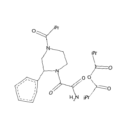 CC(C)C(=O)N1CCN(C(=O)C(N)=O)C(c2ccccc2)C1.CC(C)C(=O)OC(=O)C(C)C